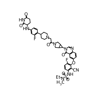 CCN(C)S(=O)(=O)Nc1ccc(F)c(Oc2ccc3ncn(C4C5CN(C(=O)CN6CCC(c7ccc(NC8CCC(=O)NC8=O)cc7F)CC6)CC54)c(=O)c3c2)c1C#N